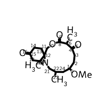 COC1CCC(=O)C(C)C(=O)OCC2(CCC(=O)CC2)N(C)CC(C)C1